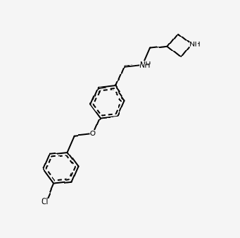 Clc1ccc(COc2ccc(CNCC3CNC3)cc2)cc1